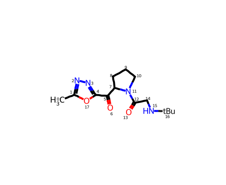 Cc1nnc(C(=O)C2CCCN2C(=O)CNC(C)(C)C)o1